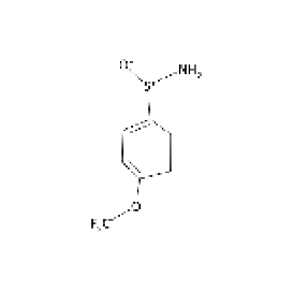 N[S+]([O-])c1ccc(OC(F)(F)F)cc1